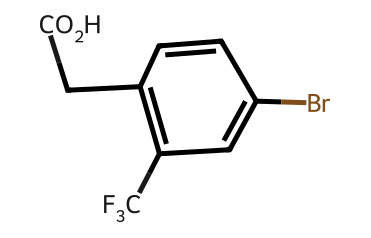 O=C(O)Cc1ccc(Br)cc1C(F)(F)F